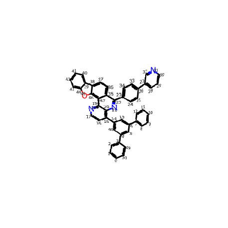 c1ccc(-c2cc(-c3ccccc3)cc(-c3ccnc4c3nc(-c3ccc(-c5cccnc5)cc3)c3ccc5c6ccccc6oc5c34)c2)cc1